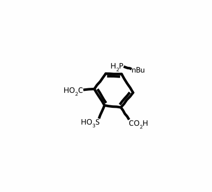 CCCCP.O=C(O)c1cccc(C(=O)O)c1S(=O)(=O)O